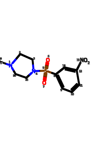 CC(C)N1CCN(S(=O)(=O)c2cccc([N+](=O)[O-])c2)CC1